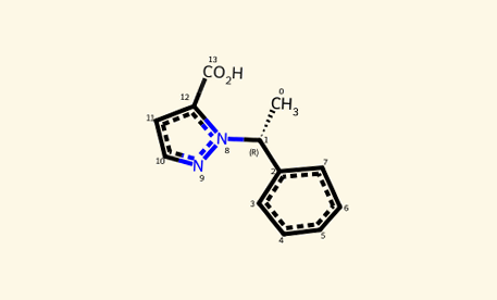 C[C@H](c1ccccc1)n1nccc1C(=O)O